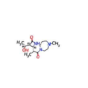 CC(C(=O)N1CCCN(C)CC1)[C@H]1NC(=O)[C@@H]1[C@@H](C)O